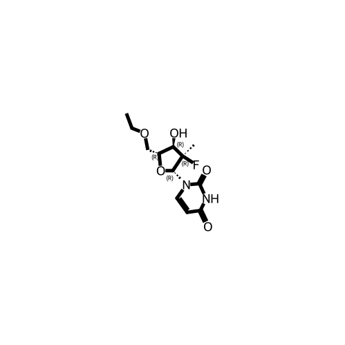 CCOC[C@H]1O[C@@H](n2ccc(=O)[nH]c2=O)[C@](C)(F)[C@@H]1O